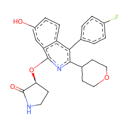 O=C1NCC[C@@H]1Oc1nc(C2CCOCC2)c(-c2ccc(F)cc2)c2ccc(O)cc12